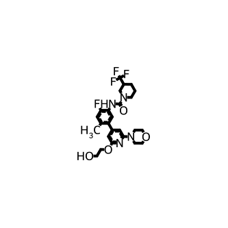 Cc1cc(F)c(NC(=O)N2CCCC(C(F)(F)F)C2)cc1-c1cc(OCCO)nc(N2CCOCC2)c1